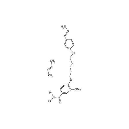 CC=CC.COc1cc(C(=O)N(C(C)C)C(C)C)ccc1OCCCCCOc1ccc(C=NN)cc1